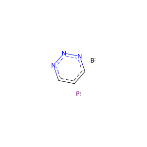 [B].[P].c1cnnnc1